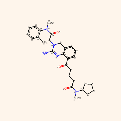 CCCCCCN(C(=O)CCCC(=O)c1cccc2c1N=C(N)N(CC(=O)N(NC)c1ccccc1C)C2)C1CCCC1